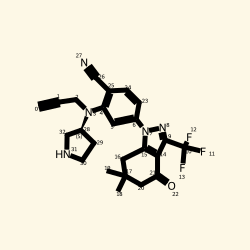 C#CCN(c1cc(-n2nc(C(F)(F)F)c3c2CC(C)(C)CC3=O)ccc1C#N)[C@H]1CCNC1